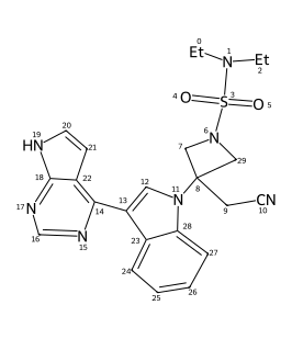 CCN(CC)S(=O)(=O)N1CC(CC#N)(n2cc(-c3ncnc4[nH]ccc34)c3ccccc32)C1